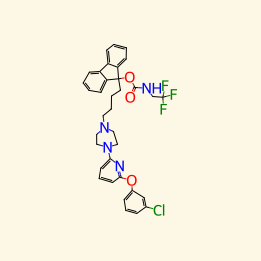 O=C(NCC(F)(F)F)OC1(CCCCN2CCN(c3cccc(Oc4cccc(Cl)c4)n3)CC2)c2ccccc2-c2ccccc21